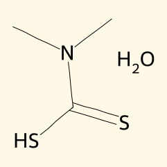 CN(C)C(=S)S.O